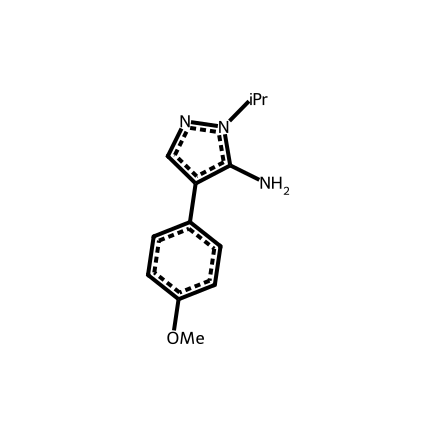 COc1ccc(-c2cnn(C(C)C)c2N)cc1